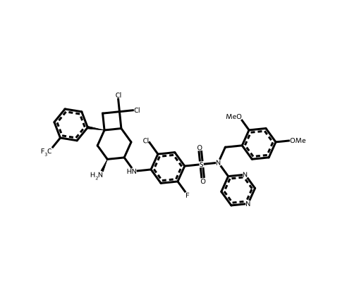 COc1ccc(CN(c2ccncn2)S(=O)(=O)c2cc(Cl)c(NC3CC4C(Cl)(Cl)C[C@@]4(c4cccc(C(F)(F)F)c4)C[C@@H]3N)cc2F)c(OC)c1